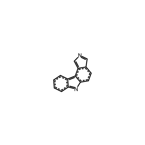 C1=NC=c2c1ccc1c2=c2ccccc2=N1